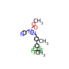 CCOC(=O)C[C@@H]1CN(Cc2ccc(-c3ccc(C(C)(C(F)(F)F)C(F)(F)F)cc3)c(C)c2)CCN1Cc1ccncc1